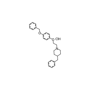 Cl.c1ccc(COc2ccc(OCCN3CCC(Cc4ccccc4)CC3)cc2)cc1